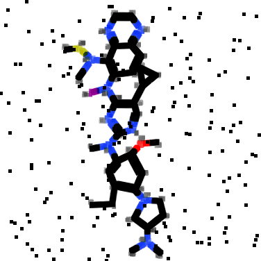 CCc1cc(N(C)c2ncc(C3CC3)c(N(I)c3ccc4nccnc4c3N(C)SC)n2)c(OC)cc1N1CCC(N(C)C)C1